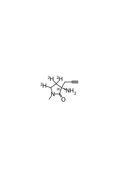 [2H]C1N(C)C(=O)[C@@](N)(CC#C)C1([2H])[2H]